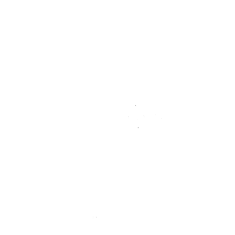 CCCCCCCCCCCCCCCCCC(=O)O.O=C(O)O.[CaH2].[CaH2]